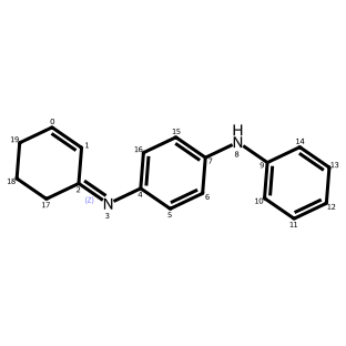 C1=C/C(=N\c2ccc(Nc3ccccc3)cc2)CCC1